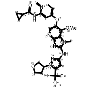 C=N/C(=C\C(=C/C)Oc1cnc2nc(Nc3cc(C(F)(F)C(F)(F)F)n(C4CCOC4)n3)n(C)c2c1OC)NC(=O)C1CC1